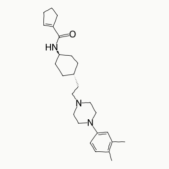 Cc1ccc(N2CCN(CC[C@H]3CC[C@H](NC(=O)C4=CCCC4)CC3)CC2)cc1C